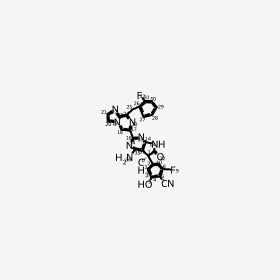 C[C@@]1(c2cc(O)c(C#N)c(F)c2)C(=O)Nc2nc(-c3cn4ccnc4c(Cc4ccccc4F)n3)nc(N)c21